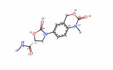 CNC(=O)[C@H]1CN(c2ccc3c(c2)COC(=O)N3C)C(=O)O1